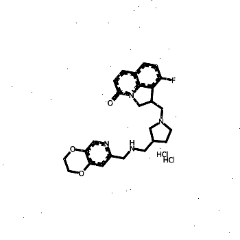 Cl.Cl.O=c1ccc2ccc(F)c3c2n1CC3CN1CCC(CNCc2cc3c(cn2)OCCO3)C1